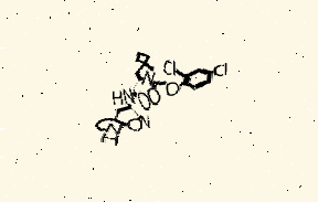 N#C[C@H](C[C@@H]1CCCNC1=O)NC(=O)[C@@H]1CC2(CCC2)CN1C(=O)COc1ccc(Cl)cc1Cl